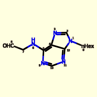 CCCCCCn1cnc2c(NCC=O)ncnc21